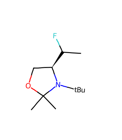 CC(F)[C@@H]1COC(C)(C)N1C(C)(C)C